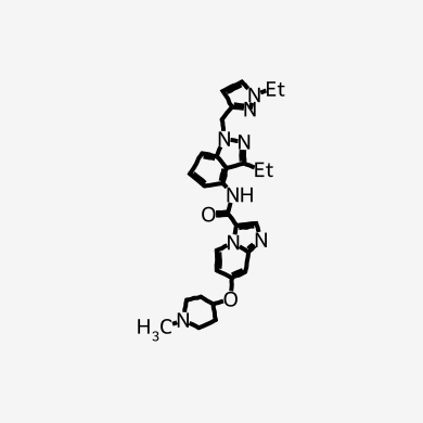 CCc1nn(Cc2ccn(CC)n2)c2cccc(NC(=O)c3cnc4cc(OC5CCN(C)CC5)ccn34)c12